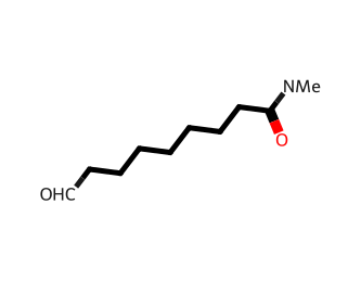 CNC(=O)CCCCCCCC=O